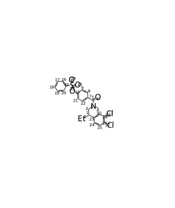 CCC(CN(C)C(=O)c1ccc(OS(=O)(=O)c2ccccc2)cc1)c1ccc(Cl)c(Cl)c1